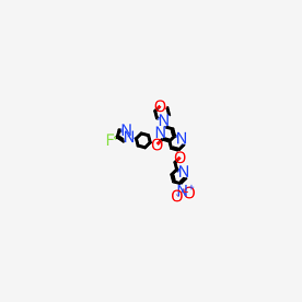 O=[N+]([O-])c1ccc(COc2cnc3cc(N4CCOCC4)nc(O[C@H]4CC[C@@H](n5cc(F)cn5)CC4)c3c2)nc1